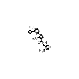 CCCCc1c(C(=O)NCc2cncn2C)cnn1-c1ncc(C)c(C2CCC2)n1